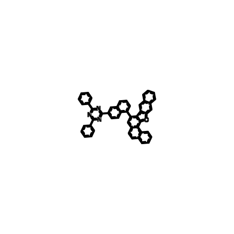 c1ccc(-c2nc(-c3ccccc3)nc(-c3ccc4c(-c5cc6ccc7ccccc7c6c6oc7cc8ccccc8cc7c56)cccc4c3)n2)cc1